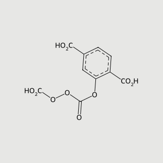 O=C(O)OOC(=O)Oc1cc(C(=O)O)ccc1C(=O)O